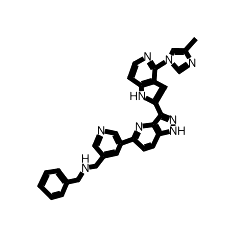 Cc1cn(-c2nccc3[nH]c(-c4n[nH]c5ccc(-c6cncc(CNCc7ccccc7)c6)nc45)cc23)cn1